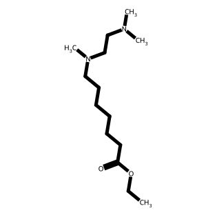 CCOC(=O)CCCCCCN(C)CCN(C)C